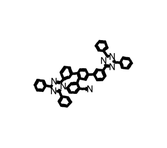 N#Cc1ccccc1-c1cc(-c2cccc(-c3nc(-c4ccccc4)nc(-c4ccccc4)n3)c2)ccc1-c1cccc(-c2nc(-c3ccccc3)nc(-c3ccccc3)n2)c1